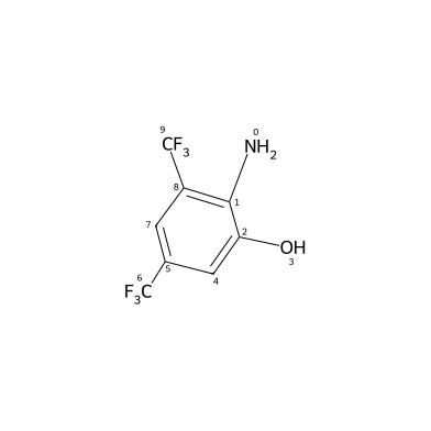 Nc1c(O)cc(C(F)(F)F)cc1C(F)(F)F